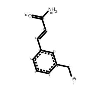 CC(C)Cc1cccc(C=CC(N)=O)c1